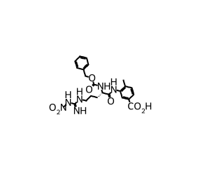 Cc1ccc(C(=O)O)cc1NC(=O)[C@H](CCCNC(=N)N[N+](=O)[O-])NC(=O)OCc1ccccc1